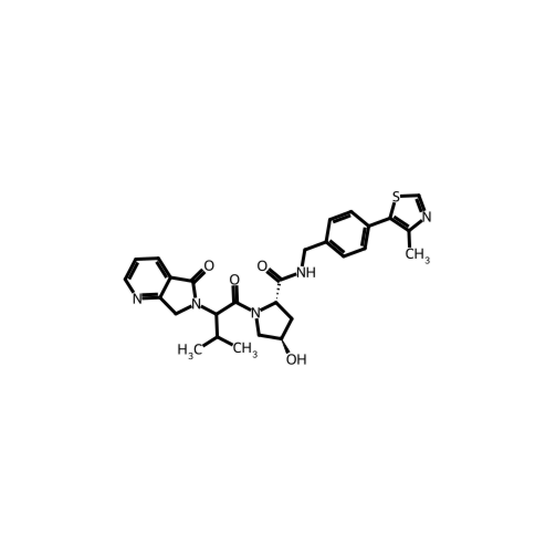 Cc1ncsc1-c1ccc(CNC(=O)[C@@H]2C[C@@H](O)CN2C(=O)C(C(C)C)N2Cc3ncccc3C2=O)cc1